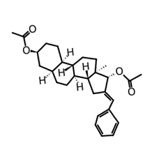 CC(=O)O[C@H]1CC[C@@H]2[C@@H](CC[C@H]3[C@H]2CC[C@@]2(C)[C@H](OC(C)=O)/C(=C/c4ccccc4)C[C@H]32)C1